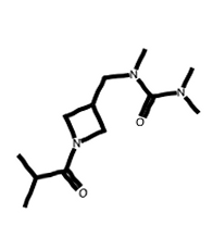 CC(C)C(=O)N1CC(CN(C)C(=O)N(C)C)C1